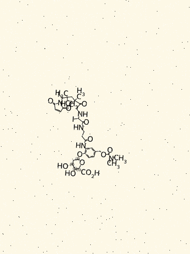 CN(C)C(=O)OCc1ccc(O[C@H]2C[C@@H](O)[C@H](O)[C@@H](C(=O)O)O2)c(NC(=O)CCNC(=O)C(I)NCC(=O)C(C)(C)CC(C)(C)C(I)N2C(=O)C=CC2=O)c1